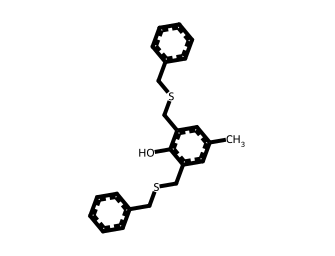 Cc1cc(CSCc2ccccc2)c(O)c(CSCc2ccccc2)c1